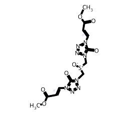 COC(=O)/C=C/n1nnn(C[S+]([O-])Cn2nnn(/C=C/C(=O)OC)c2=O)c1=O